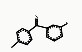 Cc1ccc(C(=S)c2cccc(F)c2)cc1